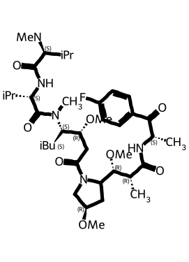 CC[C@H](C)[C@@H]([C@@H](CC(=O)N1C[C@H](OC)CC1[C@H](OC)[C@@H](C)C(=O)N[C@@H](C)C(=O)c1ccc(F)cc1)OC)N(C)C(=O)[C@@H](NC(=O)[C@@H](NC)C(C)C)C(C)C